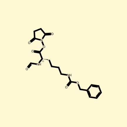 O=CN[C@@H](CCCCNC(=O)OCc1ccccc1)C(=O)ON1C(=O)CCC1=O